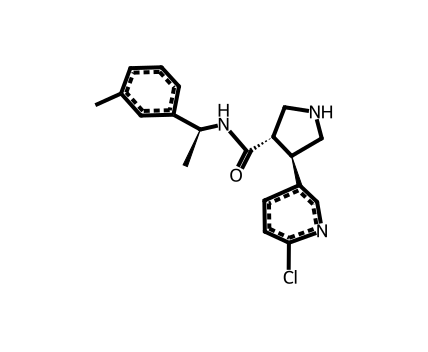 Cc1cccc([C@H](C)NC(=O)[C@@H]2CNC[C@H]2c2ccc(Cl)nc2)c1